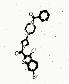 O=C(c1ccccc1)N1CCN(C2CN(C(=O)c3sc4cc(Br)ccc4c3Cl)C2)CC1